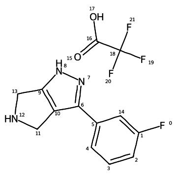 Fc1cccc(-c2n[nH]c3c2CNC3)c1.O=C(O)C(F)(F)F